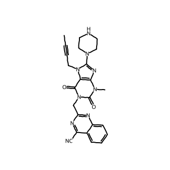 CC#CCn1c(N2CCNCC2)nc2c1c(=O)n(Cc1nc(C#N)c3ccccc3n1)c(=O)n2C